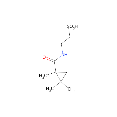 CC1(C)CC1(C)C(=O)NCCS(=O)(=O)O